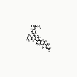 NC(=O)c1ccc(NC(=O)C(CC2CCCCC2)n2cnc3cc(C(=O)NC4CC4)ccc3c2=O)nc1